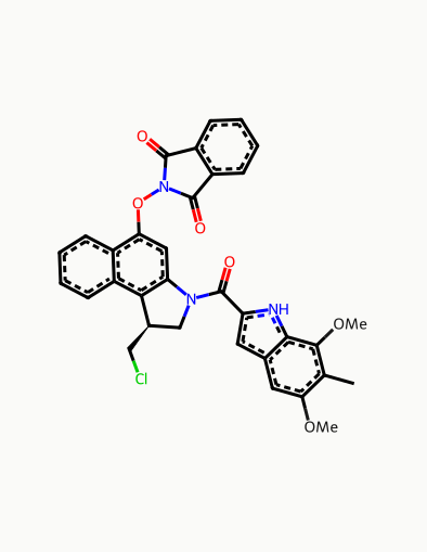 COc1cc2cc(C(=O)N3C[C@@H](CCl)c4c3cc(ON3C(=O)c5ccccc5C3=O)c3ccccc43)[nH]c2c(OC)c1C